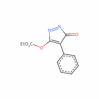 CCOC(=O)OC1=C(c2ccccc2)C(=O)N=N1